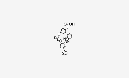 O=C(O)Cc1ccc(OCC2(COc3ccc(-c4cccs4)cc3-n3nc4ccccc4n3)CC2)cc1